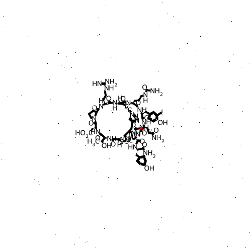 C[C@@H](O)[C@@H]1NC(=O)[C@H]2NC(=O)[C@@H](NC(=O)CN)Cc3cn(nn3)CCC[C@H](NC(=O)[C@H](CCCNC(=N)N)NC(=O)C3CCCN3C(=O)[C@H](CC(=O)O)NC1=O)C(=O)N[C@@H](CCCNC(N)=O)C(=O)N[C@@H](Cc1ccc(O)c(I)c1)C(=O)N[C@@H](CCC(N)=O)C(=O)N[C@H](C(=O)N[C@@H](Cc1ccc(O)cc1)C(N)=O)CSS2